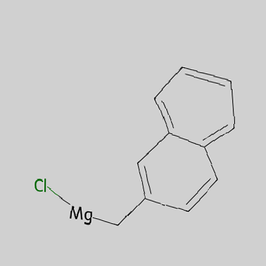 [Cl][Mg][CH2]c1ccc2ccccc2c1